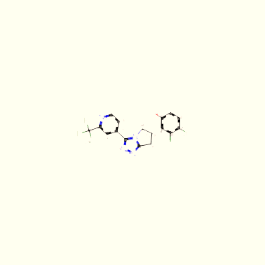 Oc1ccc(Cl)c(Cl)c1[C@@H]1Cc2nnc(-c3ccnc(C(F)(F)F)c3)n2C1